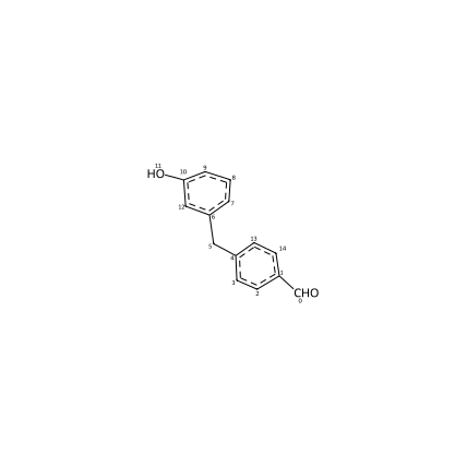 O=Cc1ccc(Cc2cccc(O)c2)cc1